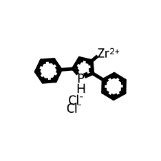 [Cl-].[Cl-].[Zr+2][c]1cc(-c2ccccc2)[pH]c1-c1ccccc1